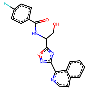 O=C(NC(CO)c1nc(-c2nccc3ccccc23)no1)c1ccc(F)cc1